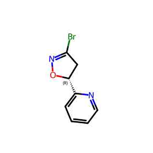 BrC1=NO[C@@H](c2ccccn2)C1